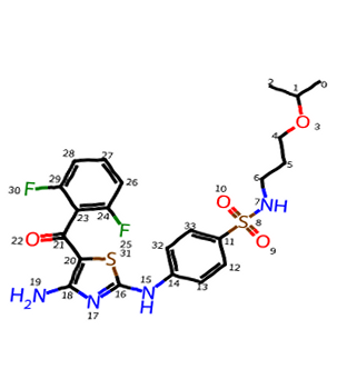 CC(C)OCCCNS(=O)(=O)c1ccc(Nc2nc(N)c(C(=O)c3c(F)cccc3F)s2)cc1